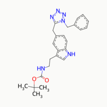 CC(C)(C)OC(=O)NCCc1c[nH]c2ccc(Cc3nnnn3Cc3ccccc3)cc12